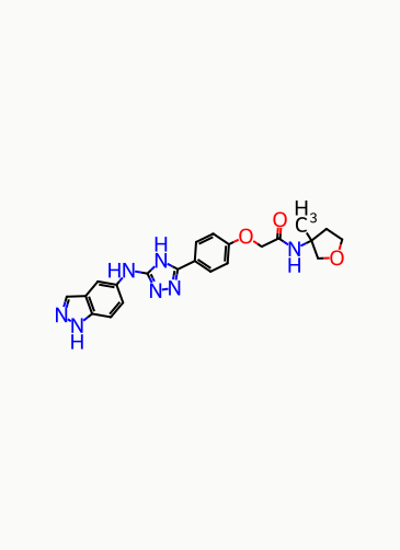 CC1(NC(=O)COc2ccc(-c3nnc(Nc4ccc5[nH]ncc5c4)[nH]3)cc2)CCOC1